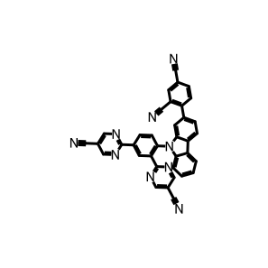 N#Cc1cnc(-c2ccc(-n3c4ccccc4c4ccc(-c5ccc(C#N)cc5C#N)cc43)c(-c3ncc(C#N)cn3)c2)nc1